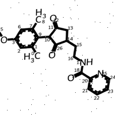 Cc1cc(OI)cc(C)c1C1C(=O)CC(CCNC(=O)c2ccccn2)C1=O